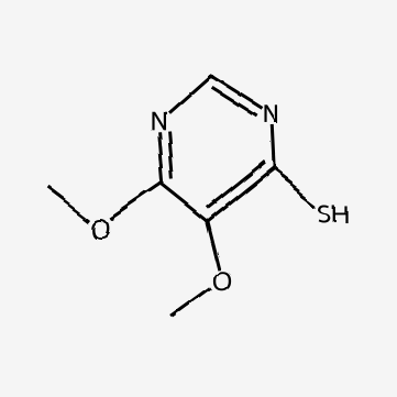 COc1ncnc(S)c1OC